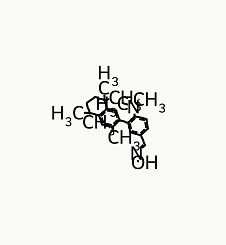 Cc1cc2c(cc1-c1cc(C=NO)ccc1N(C)C)C(C)(C)CCC2(C)C